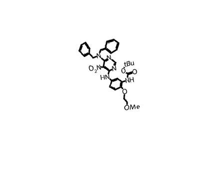 COCCOc1ccc(Nc2ncnc(N(Cc3ccccc3)Cc3ccccc3)c2[N+](=O)[O-])cc1NC(=O)OC(C)(C)C